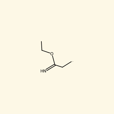 [CH2]CC(=N)OCC